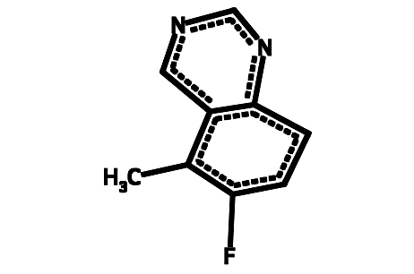 Cc1c(F)ccc2ncncc12